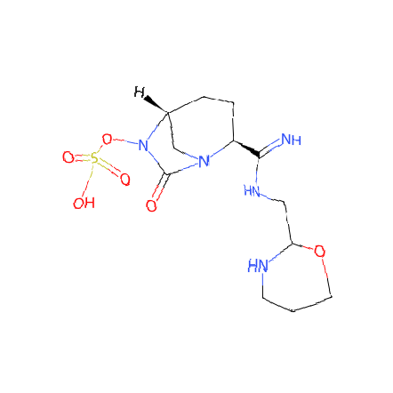 N=C(NCC1NCCCO1)[C@@H]1CC[C@@H]2CN1C(=O)N2OS(=O)(=O)O